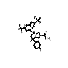 C[C@](CNc1cc(C(F)(F)F)nc2cc(C(F)(F)F)nn12)(c1ccc(F)cc1)[C@@H]1CCN(C(N)=O)C1